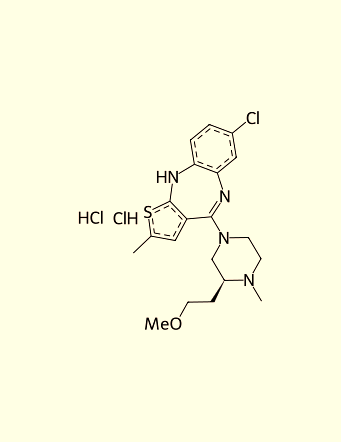 COCC[C@H]1CN(C2=Nc3cc(Cl)ccc3Nc3sc(C)cc32)CCN1C.Cl.Cl